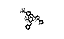 CONc1ccc(CC(NC(=O)C(Cc2ccccc2)NC(=O)OC)c2csc(-c3cccs3)n2)cc1